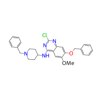 COc1cc2c(NC3CCN(Cc4ccccc4)CC3)nc(Cl)nc2cc1OCc1ccccc1